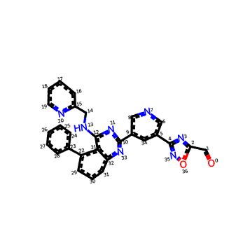 O=Cc1nc(-c2cncc(-c3nc(NCc4ccccn4)c4c(-c5ccccc5)cccc4n3)c2)no1